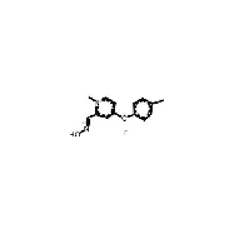 Cc1ccc(Oc2cc[n+](C)c(/C=N/O)c2)cc1.[I-]